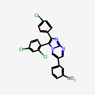 O=[N+]([O-])c1cccc(-c2cnc3nc(-c4ccc(Cl)cc4)c(-c4ccc(Cl)cc4Cl)n3c2)c1